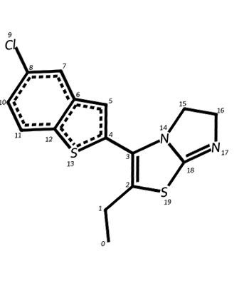 CCC1=C(c2cc3cc(Cl)ccc3s2)N2CCN=C2S1